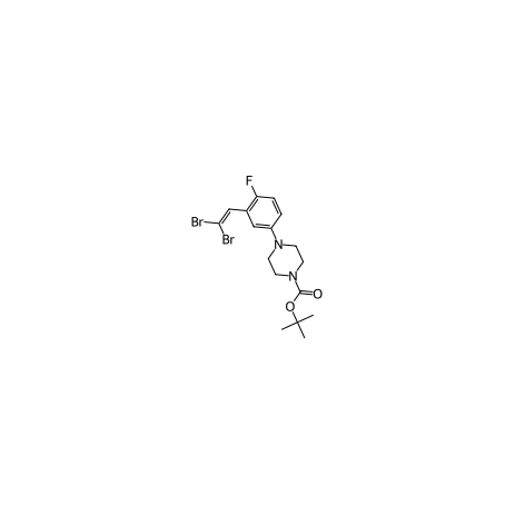 CC(C)(C)OC(=O)N1CCN(c2ccc(F)c(C=C(Br)Br)c2)CC1